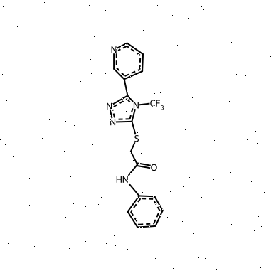 O=C(CSc1nnc(-c2cccnc2)n1C(F)(F)F)Nc1ccccc1